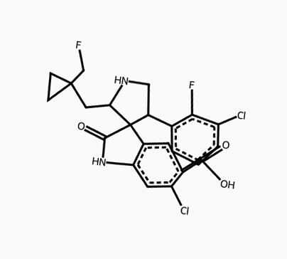 O=C(O)c1cc2c(cc1Cl)NC(=O)C21C(CC2(CF)CC2)NCC1c1cccc(Cl)c1F